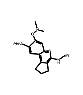 COc1cc2c3c(c(NC(C)C)nc2cc1ON(C)C)CCC3